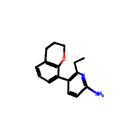 CCc1nc(N)ccc1-c1cccc2c1OCCC2